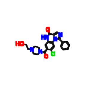 O=C(c1cc2[nH]c(=O)c3cnc(-c4ccccc4)n3c2cc1Cl)N1CCN(CCO)CC1